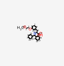 COCCOc1cccc(CC(N=C(c2ccccc2)c2ccccc2)C(=O)O)c1